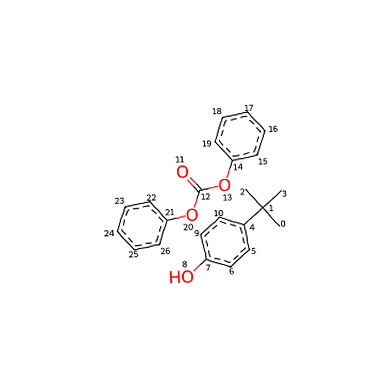 CC(C)(C)c1ccc(O)cc1.O=C(Oc1ccccc1)Oc1ccccc1